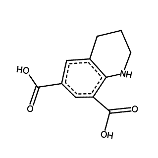 O=C(O)c1cc2c(c(C(=O)O)c1)NCCC2